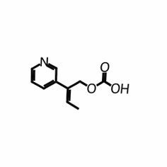 CC=C(COC(=O)O)c1cccnc1